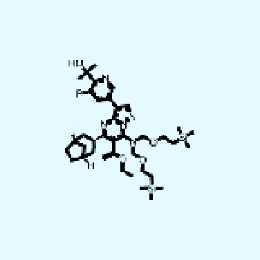 C=C(OCC)c1c([C@H]2C[C@@H]3CC[C@@H](C3)C2)nc2c(-c3cnc(C(C)(C)O)c(F)c3)cnn2c1N(COCC[Si](C)(C)C)COCC[Si](C)(C)C